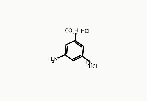 Cl.Cl.Nc1cc(N)cc(C(=O)O)c1